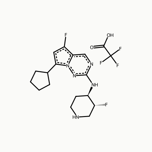 Fc1cc(C2CCCC2)n2nc(N[C@@H]3CCNC[C@H]3F)ncc12.O=C(O)C(F)(F)F